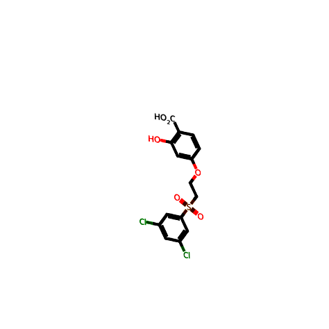 O=C(O)c1ccc(OCCS(=O)(=O)c2cc(Cl)cc(Cl)c2)cc1O